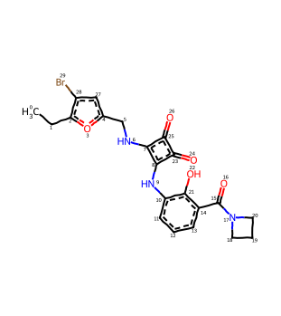 CCc1oc(CNc2c(Nc3cccc(C(=O)N4CCC4)c3O)c(=O)c2=O)cc1Br